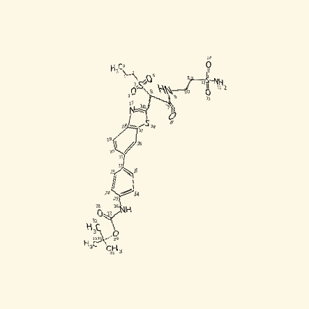 CCCS(=O)(=O)C(C(=O)NCCS(N)(=O)=O)c1nc2ccc(-c3ccc(NC(=O)OC(C)(C)C)cc3)cc2s1